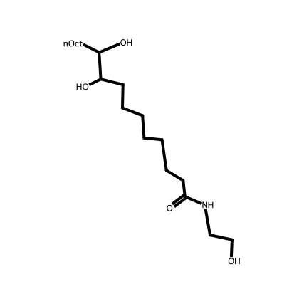 CCCCCCCCC(O)C(O)CCCCCCCC(=O)NCCO